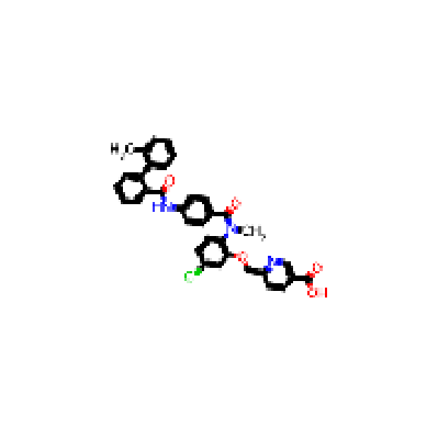 Cc1ccccc1-c1ccccc1C(=O)Nc1ccc(C(=O)N(C)c2ccc(Cl)cc2OCc2ccc(C(=O)O)cn2)cc1